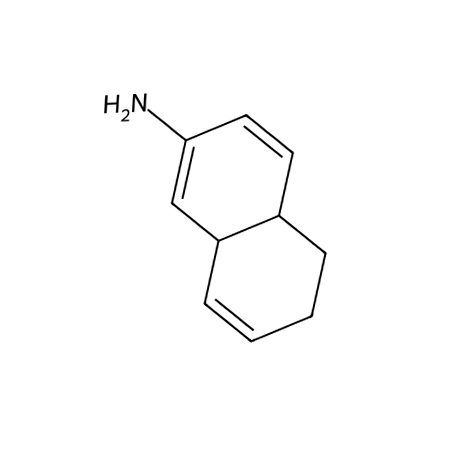 NC1=CC2C=CCCC2C=C1